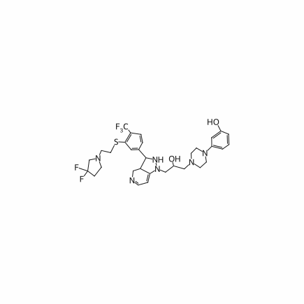 Oc1cccc(N2CCN(CC(O)CN3NC(c4ccc(C(F)(F)F)c(SCCN5CCC(F)(F)C5)c4)C4CN=CC=C43)CC2)c1